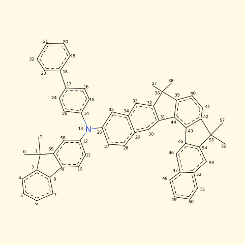 CC1(C)c2ccccc2-c2ccc(N(c3ccc(-c4ccccc4)cc3)c3ccc4cc5c(cc4c3)C(C)(C)c3ccc4c(c3-5)-c3cc5ccccc5cc3C4(C)C)cc21